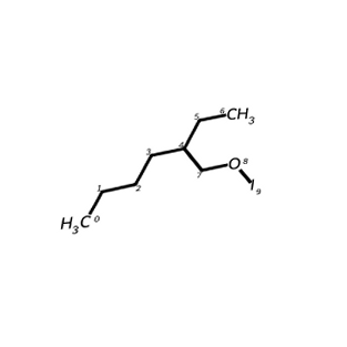 CCCCC(CC)COI